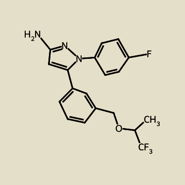 CC(OCc1cccc(-c2cc(N)nn2-c2ccc(F)cc2)c1)C(F)(F)F